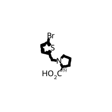 O=C(O)[C@@H]1CCCN1Cc1ccc(Br)s1